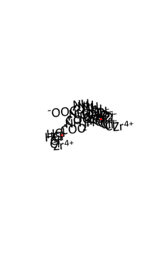 Cl.Cl.Cl.Cl.NCC(=O)[O-].NCC(=O)[O-].NCC(=O)[O-].NCC(=O)[O-].NCC(=O)[O-].NCC(=O)[O-].NCC(=O)[O-].[Al+3].[Al+3].[Cl-].[Cl-].[Cl-].[Cl-].[Cl-].[Cl-].[Cl-].[Zr+4].[Zr+4]